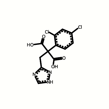 O=C(O)C(Cc1nc[nH]n1)(C(=O)O)c1ccc(Cl)cc1Cl